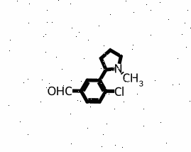 CN1CCCC1c1cc(C=O)ccc1Cl